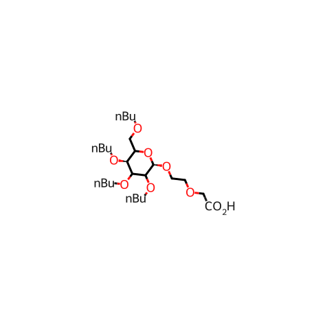 CCCCOCC1O[C@@H](OCCOCC(=O)O)C(OCCCC)C(OCCCC)[C@H]1OCCCC